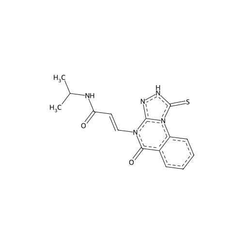 CC(C)NC(=O)C=Cn1c(=O)c2ccccc2n2c(=S)[nH]nc12